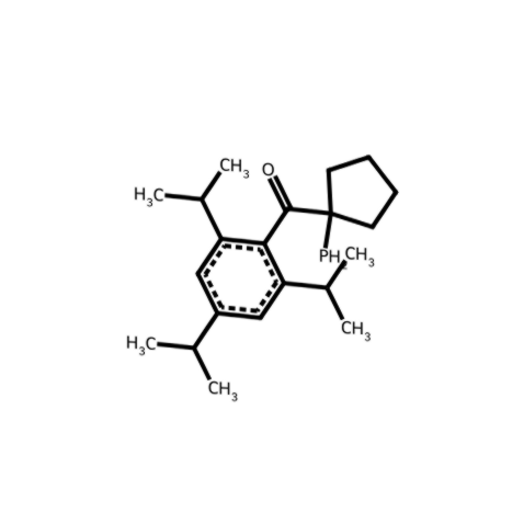 CC(C)c1cc(C(C)C)c(C(=O)C2(P)CCCC2)c(C(C)C)c1